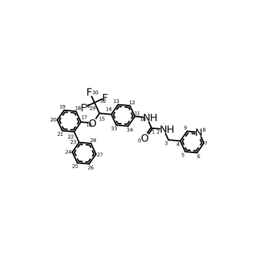 O=C(NCc1cccnc1)Nc1ccc(C(Oc2ccccc2-c2ccccc2)C(F)(F)F)cc1